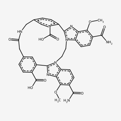 COc1c(C(N)=O)ccc2c1nc1n2CCn2c(nc3c(OC)c(C(N)=O)ccc32)-c2cc(ccc2C(=O)O)CC(=O)NCc2ccc-1c(C(=O)O)c2